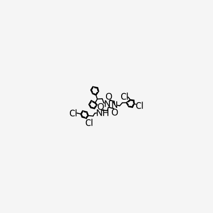 O=C(CC1C(=O)N(CCc2ccc(Cl)cc2Cl)CC(=O)N1CCC(c1ccccc1)c1ccccc1)NCCc1ccc(Cl)cc1Cl